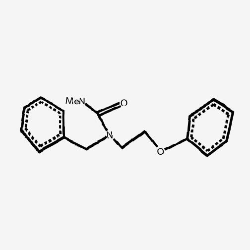 CNC(=O)N(CCOc1ccccc1)Cc1ccccc1